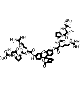 CC(C)[C@H](NC(=O)OC(C)(C)C)C(=O)N1CCC[C@H]1C(=O)N[C@@H](CCCNC(=N)N)C(=O)Nc1ccc2c(c1)Oc1cc(NC(=O)[C@@H](CCCNC(=N)N)NC(=O)[C@@H]3CCCN3C(=O)[C@@H](NC(=O)OC(C)(C)C)C(C)C)ccc1C21OC(=O)c2ccccc21